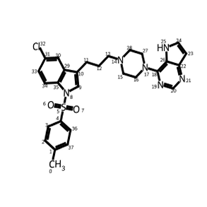 Cc1ccc(S(=O)(=O)n2cc(CCCN3CCN(c4ncnc5cc[nH]c45)CC3)c3cc(Cl)ccc32)cc1